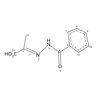 C/C(=N\NC(=O)c1ccccc1)C(=O)O